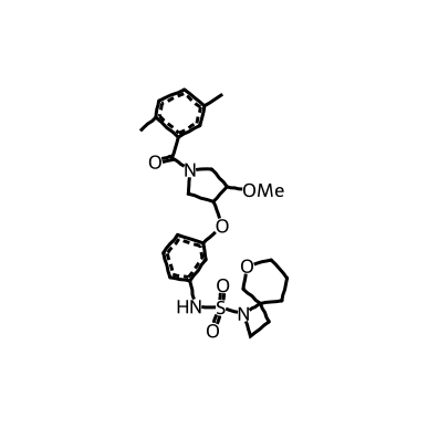 COC1CN(C(=O)c2cc(C)ccc2C)CC1Oc1cccc(NS(=O)(=O)N2CCC23CCCOC3)c1